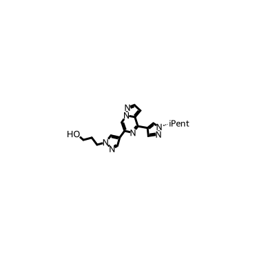 CCC[C@@H](C)n1cc(-c2nc(-c3cnn(CCCO)c3)cn3nccc23)cn1